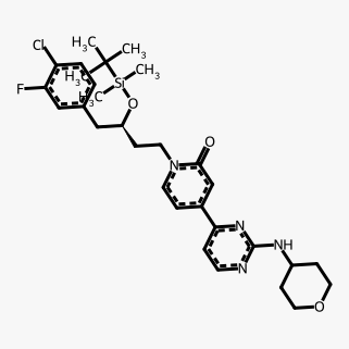 CC(C)(C)[Si](C)(C)O[C@@H](CCn1ccc(-c2ccnc(NC3CCOCC3)n2)cc1=O)Cc1ccc(Cl)c(F)c1